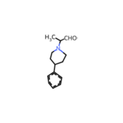 CC([C]=O)N1CCC(c2ccccc2)CC1